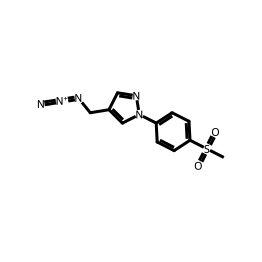 CS(=O)(=O)c1ccc(-n2cc(CN=[N+]=[N-])cn2)cc1